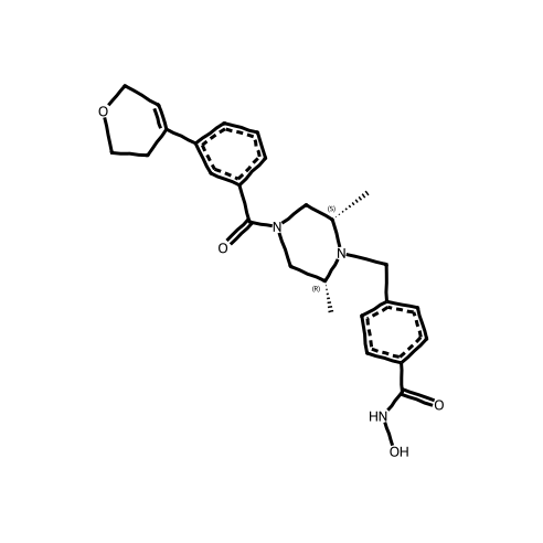 C[C@@H]1CN(C(=O)c2cccc(C3=CCOCC3)c2)C[C@H](C)N1Cc1ccc(C(=O)NO)cc1